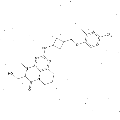 Cc1nc(C(F)(F)F)ccc1OCC1CC(Nc2nc3c4c(n2)N(C)C(CO)C(=O)N4CCC3)C1